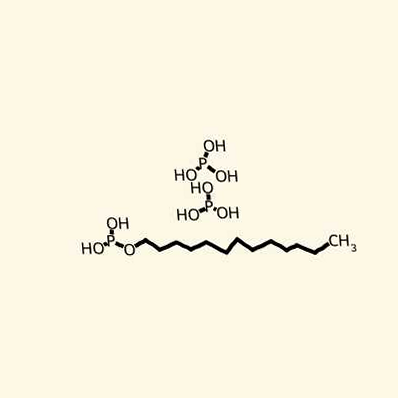 CCCCCCCCCCCCCOP(O)O.OP(O)O.OP(O)O